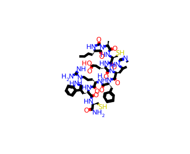 CCCC[C@@H]1NC(=O)N([C@@H](C)C(=O)N[C@@H](CS)C(=O)N[C@@H](CCC(=O)O)C(=O)N[C@@H](CC(C)N/C=N\C)C(=O)N[C@H](Cc2ccccc2)C(=O)N[C@@H](CCCNC(=N)N)C(=O)N[C@@H](Cc2c[nH]c3ccccc23)C(=O)N[C@@H](CS)C(N)=O)C1=O